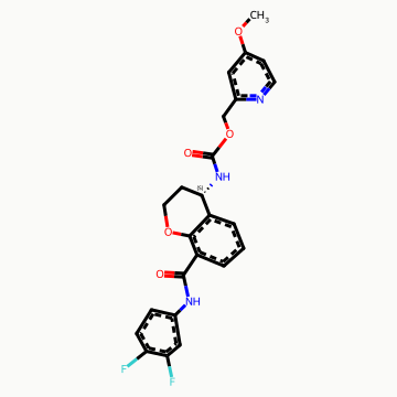 COc1ccnc(COC(=O)N[C@H]2CCOc3c(C(=O)Nc4ccc(F)c(F)c4)cccc32)c1